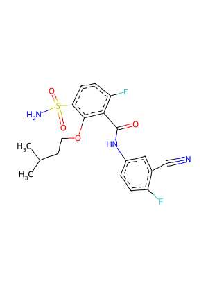 CC(C)CCOc1c(S(N)(=O)=O)ccc(F)c1C(=O)Nc1ccc(F)c(C#N)c1